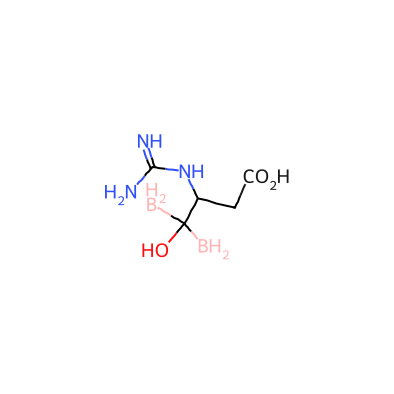 BC(B)(O)C(CC(=O)O)NC(=N)N